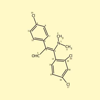 CN(C)C(=C(C=O)c1ccc(Cl)cc1)c1ccc(Cl)cc1Cl